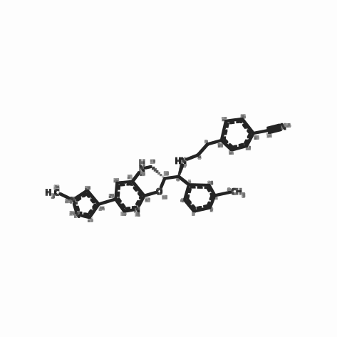 Cc1cccc([C@H](NCCc2ccc(C#N)cc2)[C@H]2CNc3cc(-c4cnn(C)c4)cnc3O2)c1